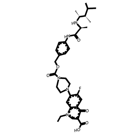 CCn1cc(C(=O)O)c(=O)c2cc(F)c(N3CCN(C(=O)OCc4ccc(NC(=O)[C@H](C)N[C@H](C)[C@@H](C)C(C)C)cc4)CC3)cc21